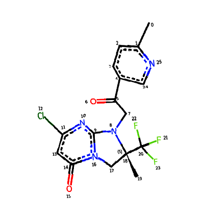 Cc1ccc(C(=O)CN2c3nc(Cl)cc(=O)n3C[C@@]2(C)C(F)(F)F)cn1